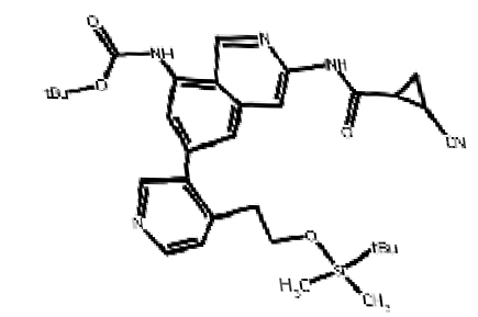 CC(C)(C)OC(=O)Nc1cc(-c2cnccc2CCO[Si](C)(C)C(C)(C)C)cc2cc(NC(=O)C3CC3C#N)ncc12